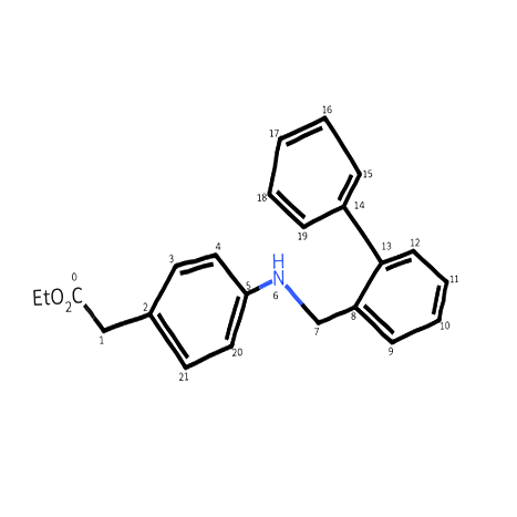 CCOC(=O)Cc1ccc(NCc2ccccc2-c2ccccc2)cc1